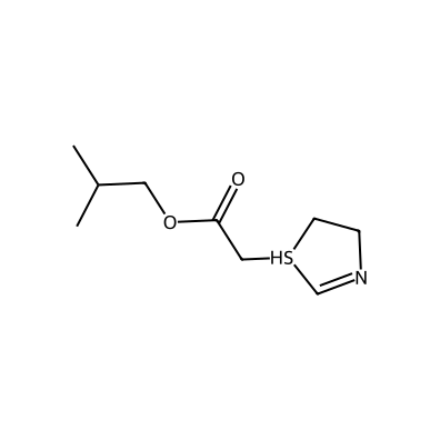 CC(C)COC(=O)C[SH]1C=NCC1